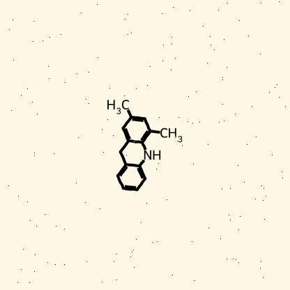 Cc1cc(C)c2c(c1)Cc1ccccc1N2